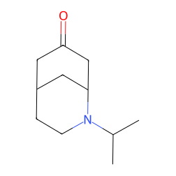 CC(C)N1CCC2CC(=O)CC1C2